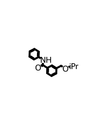 CC(C)OCc1cccc(C(=O)Nc2ccccc2)c1